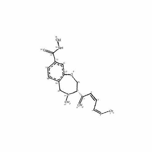 C=C(/C=C\C=C/C)[C@H]1COc2cc(C(=O)NO)ccc2CN1C